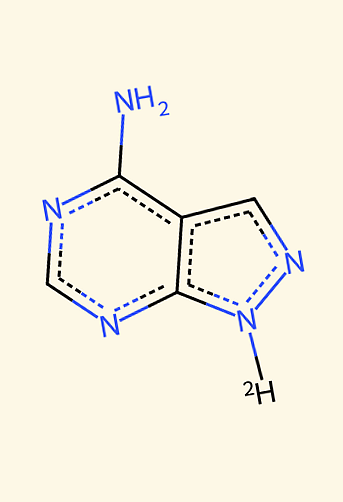 [2H]n1ncc2c(N)ncnc21